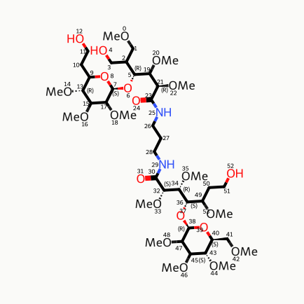 COCC(CO)[C@@H](O[C@@H]1OC(CCO)[C@@H](OC)C(OC)C1OC)C(OC)[C@@H](OC)C(=O)NCCCNC(=O)[C@@H](OC)[C@H](OC)[C@@H](O[C@H]1O[C@@H](COC)[C@H](OC)C(OC)C1OC)C(CCO)OC